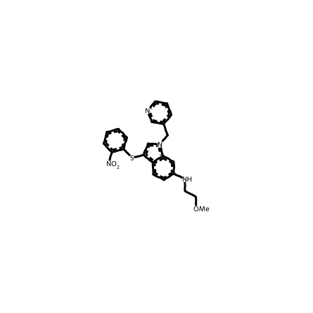 COCCNc1ccc2c(Sc3ccccc3[N+](=O)[O-])cn(Cc3cccnc3)c2c1